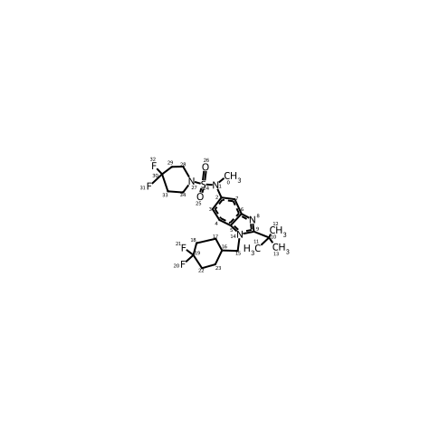 CN(c1ccc2c(c1)nc(C(C)(C)C)n2CC1CCC(F)(F)CC1)S(=O)(=O)N1CCC(F)(F)CC1